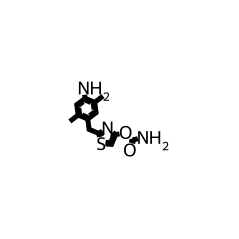 Cc1cc(Cc2nc(OC(N)=O)cs2)c(C)cc1N